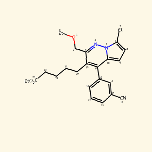 CCOCc1nn2c(CC)ccc2c(-c2cccc(C#N)c2)c1CCCCC(=O)OCC